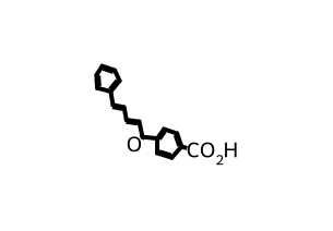 O=C(O)c1ccc(C(=O)C=CC=Cc2ccccc2)cc1